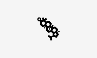 CC(C)[C@@H]1CC[C@]2(C)CC[C@]3(C)C(CCC4[C@@]5(C)CCC(=O)C(C)(C)C5CC[C@]43C)C12